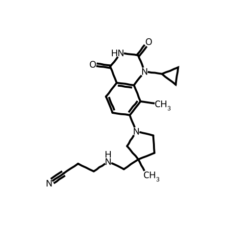 Cc1c(N2CCC(C)(CNCCC#N)C2)ccc2c(=O)[nH]c(=O)n(C3CC3)c12